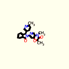 Cc1ccc(C2c3ccccc3C(=O)N2c2cc3c(cn2)N(C)C(=O)C(C)O3)cn1